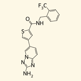 Nc1nc2ccc(-c3csc(C(=O)NCc4ccccc4C(F)(F)F)c3)cn2n1